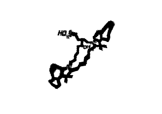 CC(O)CCCCCN1\C(=C/C=C/C=C/C=C/C2=[N+](CCCCS(=O)(=O)O)c3ccc4ccccc4c3C2(C)C)C(C)(C)c2c1ccc1ccccc21